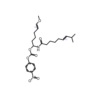 CO/C=C/CCCC(NC(=O)CCCC/C=C/C(C)C)OC(=O)Oc1ccc([N+](=O)[O-])cc1